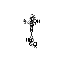 Cc1ncsc1-c1ccc([C@H](CC(=O)N2CCC(N3CCC(C#Cc4ccc(C(=O)N[C@H]5C(C)(C)[C@H](Oc6ccc(C#N)c(Cl)c6)C5(C)C)cc4)CC3)CC2)NC(=O)[C@@H]2C[C@@H](O)CN2C(=O)[C@@H](NC(=O)C2(F)CC2)C(C)(C)C)cc1